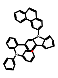 c1ccc(N(c2ccccc2)c2ccccc2-c2ccc3c4ccccc4n(-c4ccc5ccc6ccccc6c5c4)c3c2)cc1